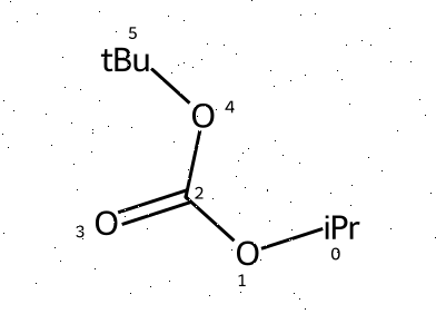 CC(C)OC(=O)OC(C)(C)C